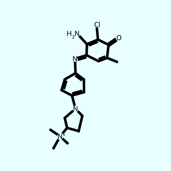 CC1=C/C(=N\c2ccc(N3CCC([N+](C)(C)C)C3)cc2)C(N)=C(Cl)C1=O